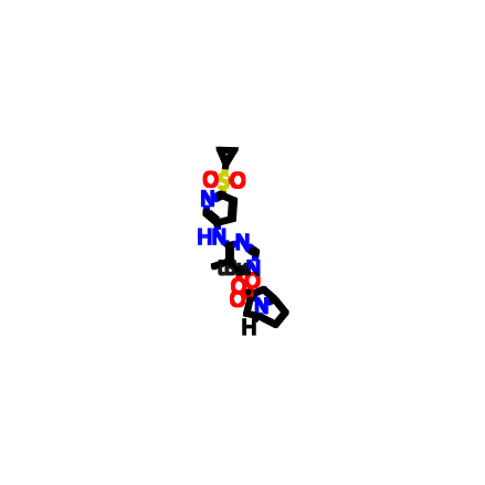 Cc1c(Nc2ccc(S(=O)(=O)C3CC3)nc2)ncnc1O[C@H]1CC2CC[C@@H](C1)N2C(=O)OC(C)(C)C